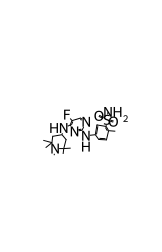 Cc1ccc(Nc2ncc(F)c(NC3CC(C)(C)N(C)C(C)(C)C3)n2)cc1S(N)(=O)=O